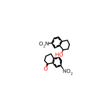 O=C1CCCc2ccc([N+](=O)[O-])cc21.O=[N+]([O-])c1ccc2c(c1)C(O)CCC2